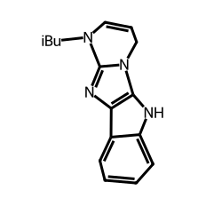 CCC(C)N1C=CCn2c1nc1c3ccccc3[nH]c12